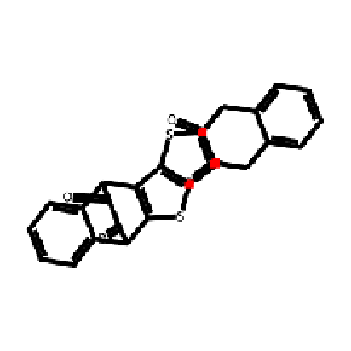 O=C1C(=O)C2c3ccccc3C1c1sc3c4c(sc3c12)C1C(=O)C(=O)C4c2ccccc21